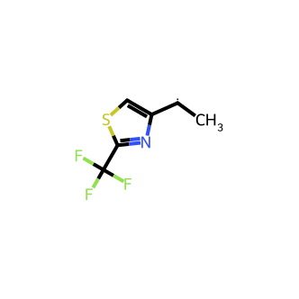 C[CH]c1csc(C(F)(F)F)n1